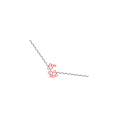 CCCCCCCCCCCCCCCCCC(=O)OC(CO)C1OCC(O)C1OC(=O)CCCCCCCCCCCCCCCCC